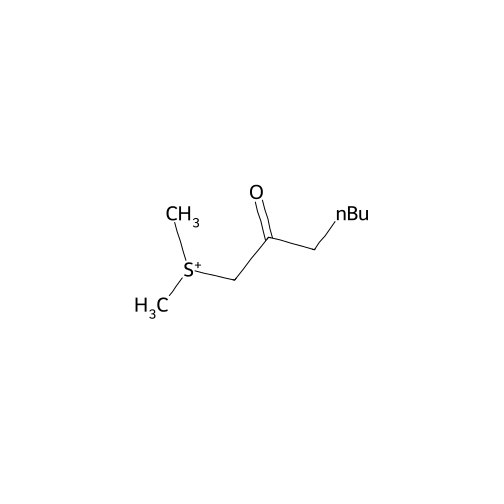 CCCCCC(=O)C[S+](C)C